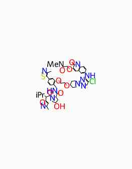 CNC(=O)COc1cc2cc(Nc3nc(N4CCC(OCCOc5cc(-c6scnc6C)ccc5CNC(=O)C5CC(O)CN5C(=O)C(c5cc(C)no5)C(C)C)CC4)ncc3Cl)ccc2n(C)c1=O